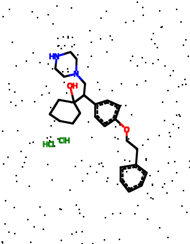 Cl.Cl.OC1(C(CN2CCNCC2)c2ccc(OCCc3ccccc3)cc2)CCCCC1